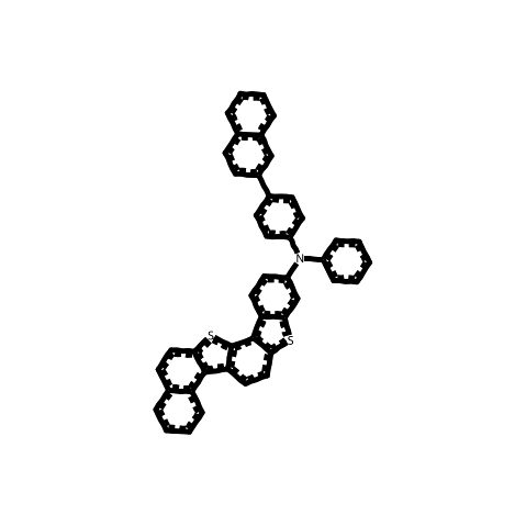 c1ccc(N(c2ccc(-c3ccc4ccccc4c3)cc2)c2ccc3c(c2)sc2ccc4c(sc5ccc6ccccc6c54)c23)cc1